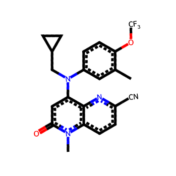 Cc1cc(N(CC2CC2)c2cc(=O)n(C)c3ccc(C#N)nc23)ccc1OC(F)(F)F